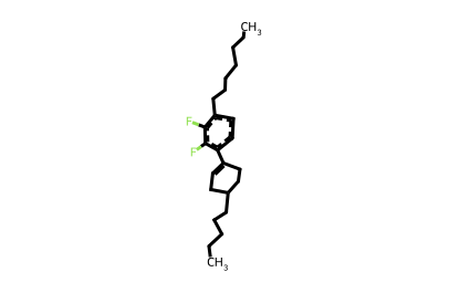 CCCCCCCc1ccc(C2=CCC(CCCCC)CC2)c(F)c1F